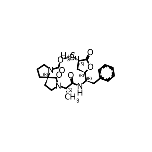 C[C@H]1C[C@H]([C@@H](Cc2ccccc2)NC(=O)[C@H](C)N2CC[C@]3(CCCN3C(=O)OC(C)(C)C)C2=O)OC1=O